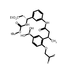 CCOC(=O)C[C@@H](NC(=O)OC(C)(C)C)c1cccc(NC(=O)C[C@@H](C)c2cc(B(O)O)ccc2OCC(F)F)c1